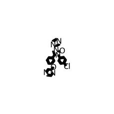 O=C1N(c2cnccn2)CC(c2cccc(Oc3cnccn3)c2)N1c1ccc(Cl)cc1